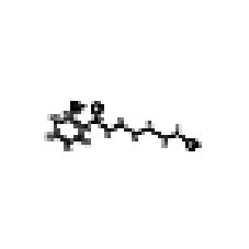 [O]CCCCCCC(=O)c1ccccc1Br